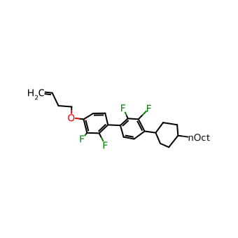 C=CCCOc1ccc(-c2ccc(C3CCC(CCCCCCCC)CC3)c(F)c2F)c(F)c1F